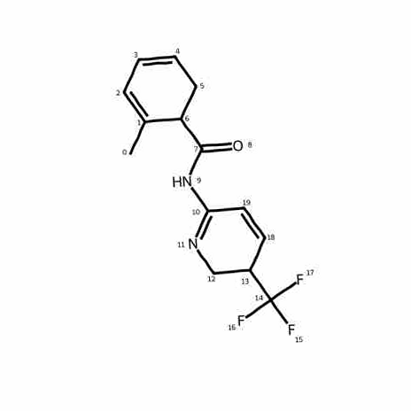 CC1=CC=CCC1C(=O)NC1=NCC(C(F)(F)F)C=C1